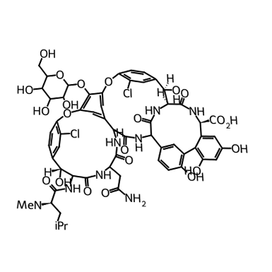 CN[C@H](CC(C)C)C(=O)NC1C(=O)NC(CC(N)=O)C(=O)N[C@H]2C(=O)NC3C(=O)N[C@H](C(=O)N[C@@H](C(=O)O)c4cc(O)cc(O)c4-c4cc3ccc4O)[C@H](O)c3ccc(c(Cl)c3)Oc3cc2cc(c3OC2OC(CO)C(O)C(O)C2O)Oc2ccc(cc2Cl)[C@H]1O